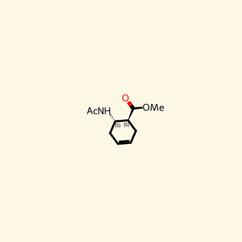 COC(=O)[C@H]1CC=CC[C@@H]1NC(C)=O